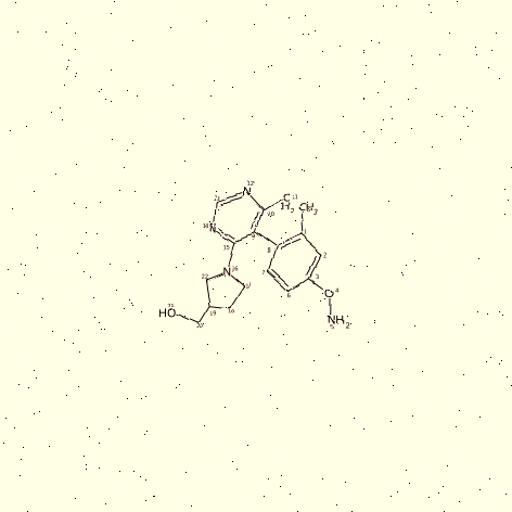 Cc1cc(ON)ccc1-c1c(C)ncnc1N1CCC(CO)C1